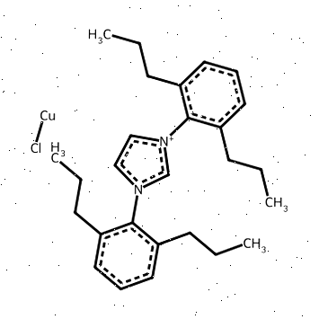 CCCc1cccc(CCC)c1-n1cc[n+](-c2c(CCC)cccc2CCC)c1.[Cl][Cu]